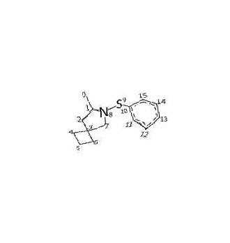 CC1CC2(CCC2)CN1Sc1ccccc1